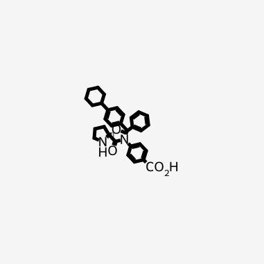 O=C(O)c1ccc(N(Cc2ccc(C3CCCCC3)cc2)C(=O)[C@]2(OCc3ccccc3)CCCN2)cc1